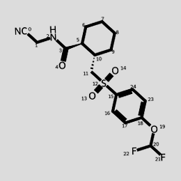 N#CCNC(=O)[C@H]1CCCC[C@@H]1CS(=O)(=O)c1ccc(OC(F)F)cc1